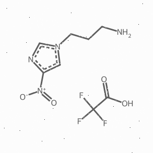 NCCCn1cnc([N+](=O)[O-])c1.O=C(O)C(F)(F)F